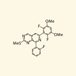 COc1cc(OC)c(F)c(-c2cc3cnc(SC)nc3c(-c3ccccc3F)n2)c1F